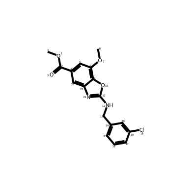 COC(=O)c1cc(OC)c2oc(NCc3cccc(Cl)c3)nc2c1